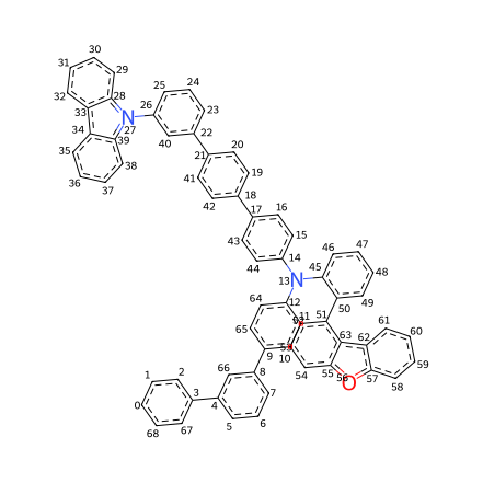 c1ccc(-c2cccc(-c3ccc(N(c4ccc(-c5ccc(-c6cccc(-n7c8ccccc8c8ccccc87)c6)cc5)cc4)c4ccccc4-c4cccc5oc6ccccc6c45)cc3)c2)cc1